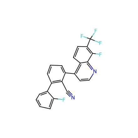 N#Cc1c(-c2ccccc2F)cccc1-c1ccnc2c(F)c(C(F)(F)F)ccc12